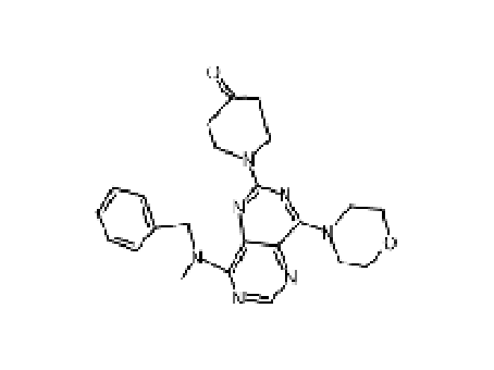 CN(Cc1ccccc1)c1ncnc2c(N3CCOCC3)nc(N3CCC(=O)CC3)nc12